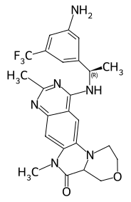 Cc1nc(N[C@H](C)c2cc(N)cc(C(F)(F)F)c2)c2cc3c(cc2n1)N(C)C(=O)C1COCCN31